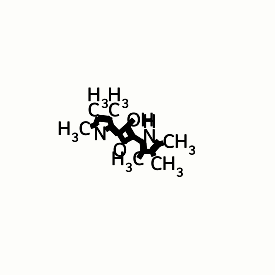 CC1=N/C(=C2\C(=O)C(c3[nH]c(C)c(C)c3C)=C2O)C(C)=C1C